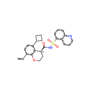 COc1ccc(C2CCC2)c2c1OCC[C@@H]2C(=O)NS(=O)(=O)c1cccc2ncccc12